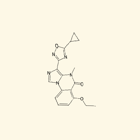 CCOc1cccc2c1c(=O)n(C)c1c(-c3noc(C4CC4)n3)ncn21